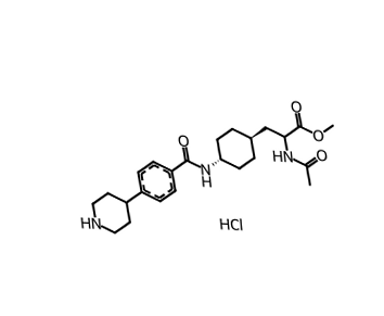 COC(=O)C(C[C@H]1CC[C@H](NC(=O)c2ccc(C3CCNCC3)cc2)CC1)NC(C)=O.Cl